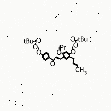 CC=CCc1cc(C=CC(=O)c2ccc(OCOC(=O)C(C)(C)C)cc2)c(OC(C)C)cc1OCOC(=O)C(C)(C)C